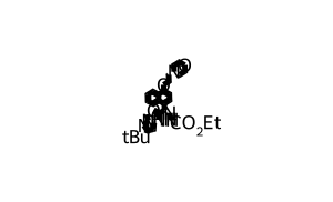 CCOC(=O)N/N=C(\C(=O)Nc1cc(C(C)(C)C)nn1C)c1ccc(OCCN2CCOCC2)c2ccccc12